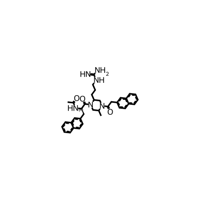 CC(=O)N[C@H](Cc1ccc2ccccc2c1)C(=O)N1CC(C)N(C(=O)Cc2ccc3ccccc3c2)CC1CCCNC(=N)N